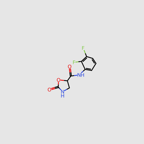 O=C1NCC(C(=O)Nc2cccc(F)c2F)O1